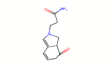 NC(=O)CCN1C=C2C=CCC(=O)C2C1